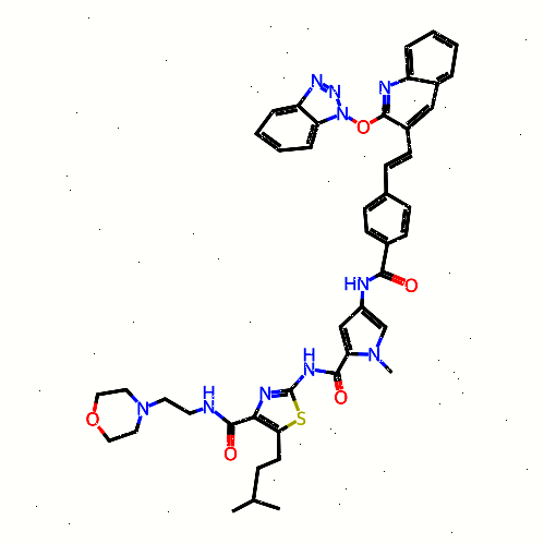 CC(C)CCc1sc(NC(=O)c2cc(NC(=O)c3ccc(C=Cc4cc5ccccc5nc4On4nnc5ccccc54)cc3)cn2C)nc1C(=O)NCCN1CCOCC1